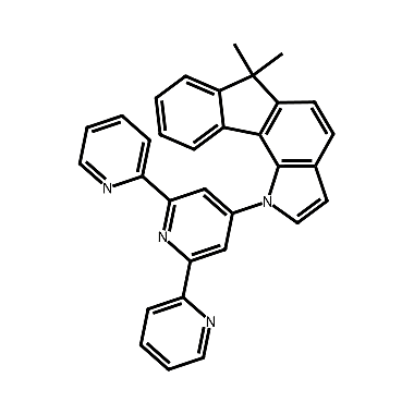 CC1(C)c2ccccc2-c2c1ccc1ccn(-c3cc(-c4ccccn4)nc(-c4ccccn4)c3)c21